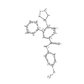 O=C(Nc1ccc(OC(F)(F)F)cc1)c1cnc(N2CCOC2)c(-c2cccnc2)c1